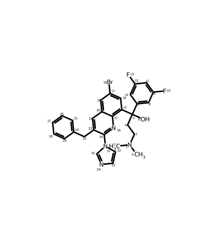 CN(C)CCC(O)(c1cc(F)cc(F)c1)c1cc(Br)cc2cc(Cc3ccccc3)c(-n3ccnc3)nc12